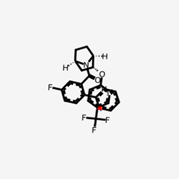 O=C(c1cc(F)ccc1-c1ncccn1)N1[C@@H]2CC[C@H]1[C@H](Oc1ccc(C(F)(F)F)cn1)C2